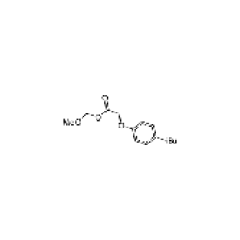 CCC(C)c1ccc(OCC(=O)OCOC)cc1